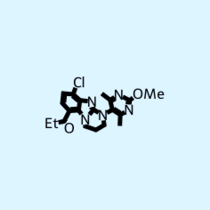 CCC(=O)c1ccc(Cl)c2nc3n(c12)CCCN3c1c(C)nc(OC)nc1C